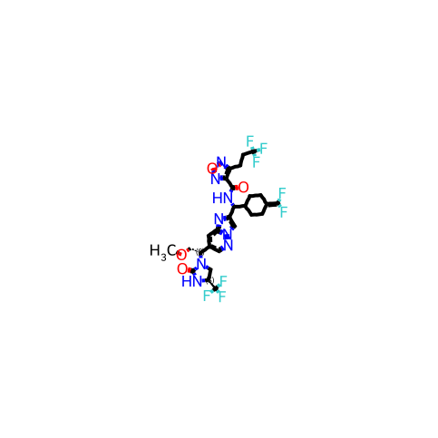 COC[C@H](c1cnn2cc(C(NC(=O)c3nonc3CCC(F)(F)F)C3CCC(=C(F)F)CC3)nc2c1)N1C[C@@H](C(F)(F)F)NC1=O